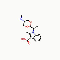 CNC1COC([C@@H](C)n2c(C)c(C(=O)O)c3ccccc32)OC1